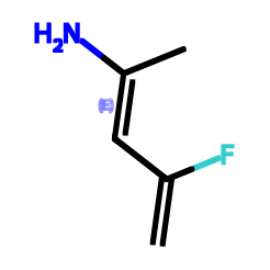 C=C(F)/C=C(\C)N